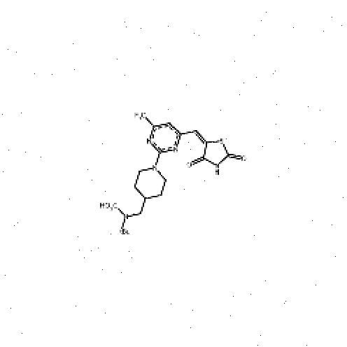 CC(C)(C)N(CC1CCN(c2nc(C=C3SC(=O)NC3=O)cc(C(F)(F)F)n2)CC1)C(=O)O